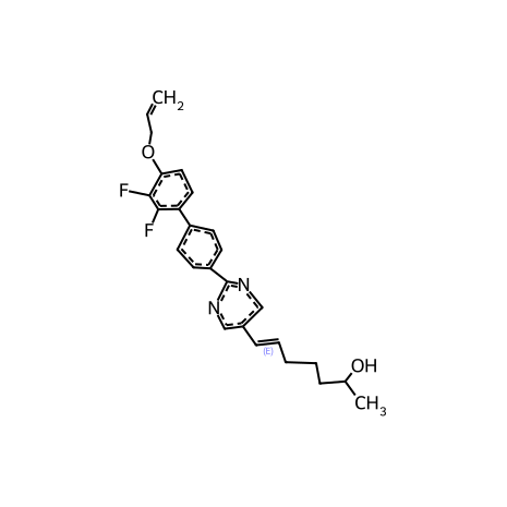 C=CCOc1ccc(-c2ccc(-c3ncc(/C=C/CCCC(C)O)cn3)cc2)c(F)c1F